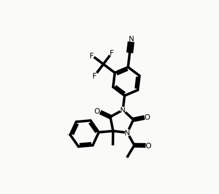 CC(=O)N1C(=O)N(c2ccc(C#N)c(C(F)(F)F)c2)C(=O)C1(C)c1cc[c]cc1